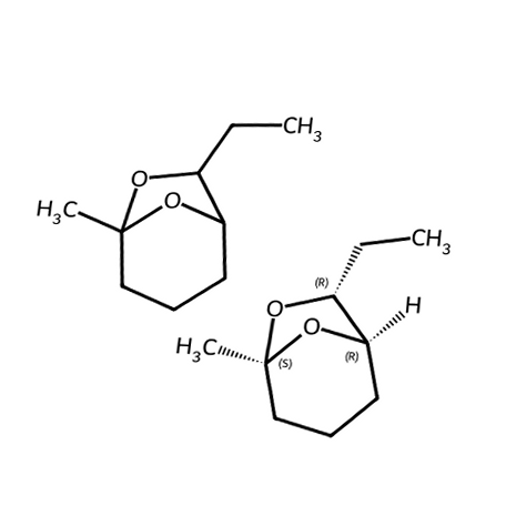 CCC1OC2(C)CCCC1O2.CC[C@H]1O[C@]2(C)CCC[C@H]1O2